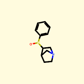 [O-][S+](c1ccccc1)C1CN2CCC1C2